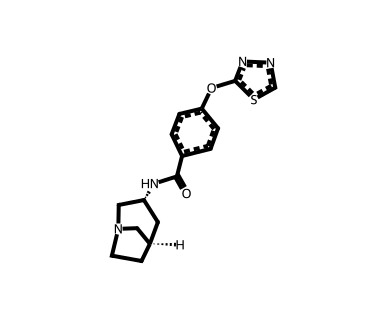 O=C(N[C@@H]1C[C@H]2CCN(C2)C1)c1ccc(Oc2nncs2)cc1